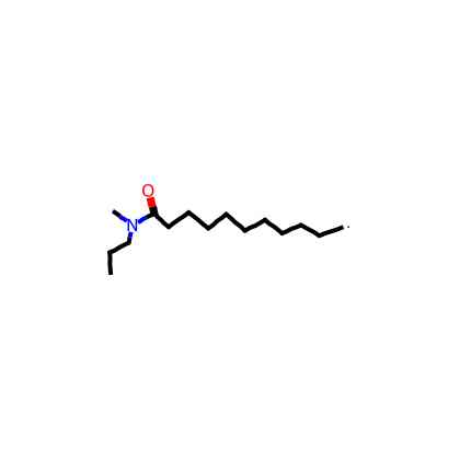 [CH2]CCCCCCCCCC(=O)N(C)CCC